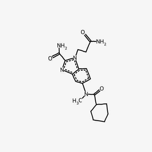 CN(C(=O)C1CCCCC1)c1ccc2c(c1)nc(C(N)=O)n2CCC(N)=O